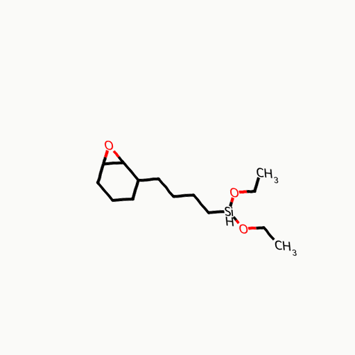 CCO[SiH](CCCCC1CCCC2OC12)OCC